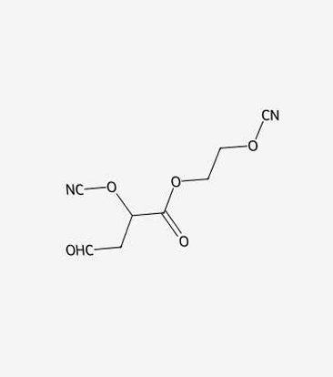 N#COCCOC(=O)C(CC=O)OC#N